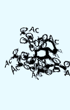 CC(=O)OCOP(=O)(OCOC(C)=O)OC1C(OOP(C(=O)C(C)=O)C(=O)C(C)=O)C(OP(=O)(C(=O)C(C)=O)C(=O)C(C)=O)C(OP(=O)(C(=O)C(C)=O)C(=O)C(C)=O)C23CCCC(OC12)O3